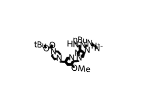 CCCCNc1nc(N=[N+]=[N-])nc2cn(Cc3ncc(CN4CCN(C(=O)OC(C)(C)C)CC4)cc3OC)nc12